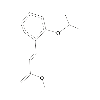 C=C(/C=C/c1ccccc1OC(C)C)OC